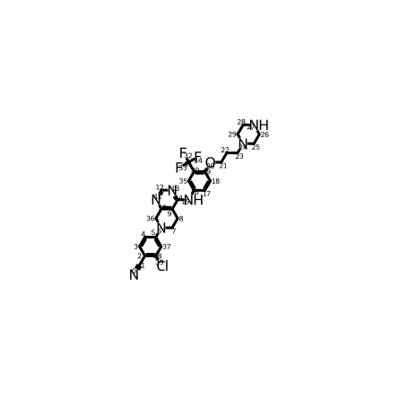 N#Cc1ccc(N2CCc3c(ncnc3Nc3ccc(OCCCN4CCNCC4)c(C(F)(F)F)c3)C2)cc1Cl